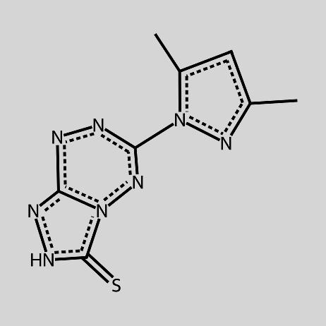 Cc1cc(C)n(-c2nnc3n[nH]c(=S)n3n2)n1